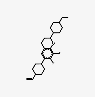 C=CC1CCC(c2cc3c(c(F)c2F)OC(C2CCC(CC)CC2)CC3)CC1